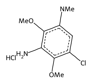 CNc1cc(Cl)c(OC)c(N)c1OC.Cl